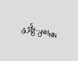 O=C(CCCN1C(=O)/C(=C/c2cccs2)SC1=S)NCCCn1ccnc1